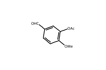 COc1ccc(C=O)cc1OC(C)=O